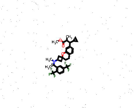 COC(=O)C(C)C(c1ccc2c(c1)OC1(CC2)CC(N(C)[C@H](C)c2cc(C(F)(F)F)ccc2C(F)(F)F)C1)C1CC1